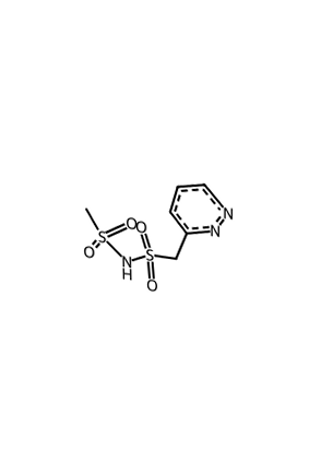 CS(=O)(=O)NS(=O)(=O)Cc1cccnn1